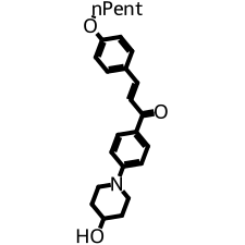 CCCCCOc1ccc(C=CC(=O)c2ccc(N3CCC(O)CC3)cc2)cc1